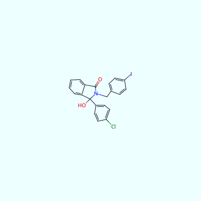 O=C1c2ccccc2C(O)(c2ccc(Cl)cc2)N1Cc1ccc(I)cc1